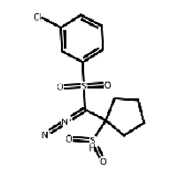 [N-]=[N+]=C(C1([SH](=O)=O)CCCC1)S(=O)(=O)c1cccc(Cl)c1